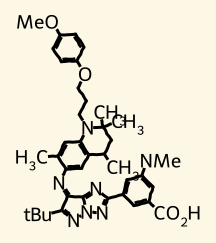 CNc1cc(C(=O)O)cc(-c2nc3n(n2)N=C(C(C)(C)C)/C3=N/c2cc3c(cc2C)N(CCCOc2ccc(OC)cc2)C(C)(C)CC3C)c1